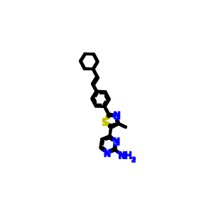 Cc1nc(-c2ccc(/C=C/C3CCCCC3)cc2)sc1-c1ccnc(N)n1